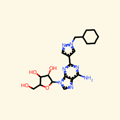 Nc1nc(-c2cnn(CC3CCCCC3)c2)nc2c1ncn2C1OC(CO)C(O)[C@H]1O